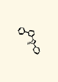 C1=CCC(C2=CC(c3cccc(-c4ccccc4)c3)N2)C=C1